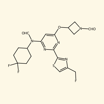 O=CN1CC(Oc2cc(N(C=O)C3CCC(F)(F)CC3)nc(-c3nc(CF)cs3)n2)C1